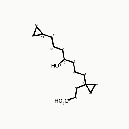 O=C(O)CCC1(CCCC(O)CCCC2CC2)CC1